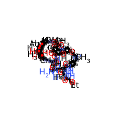 CCOCCC(=O)N[C@H](C(=O)N[C@@H](CCCNC(N)=O)C(=O)Nc1ccc(C[N+](C)(C)CCOc2ccc3nc4c5c6c7c(C)c(O)c5c(=O)c(c-4oc3c2)NC(=O)/C(C)=C\C=C\[C@H](C)[C@H](O)[C@@H](C)[C@@H](O)[C@@H](C)[C@H](OC(C)=O)[C@H](C)[C@@H](OC)/C=C/O[C@@](C)(O7)C6=O)cc1)C(C)C